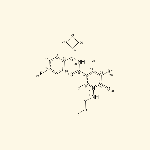 CCCNn1c(C)c(C(=O)N[C@H](c2ccc(F)cc2)C2CCC2)c(C)c(Br)c1=O